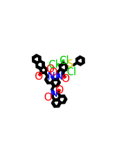 O=C1c2cc3ccccc3cc2C(=O)C1c1ccc2c(CN3C(=O)c4cccc5cccc(c45)C3=O)ccc(N3C(=O)c4c(Cl)c(Cl)c(SCc5ccccc5)c(Cl)c4C3=O)c2n1